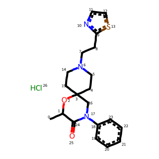 CC1OC2(CCN(CCc3nccs3)CC2)CN(c2ccccc2)C1=O.Cl